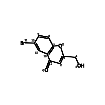 O=c1cc(CO)oc2ccc(Br)cc12